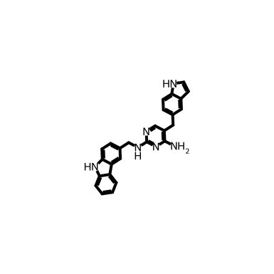 Nc1nc(NCc2ccc3[nH]c4ccccc4c3c2)ncc1Cc1ccc2[nH]ccc2c1